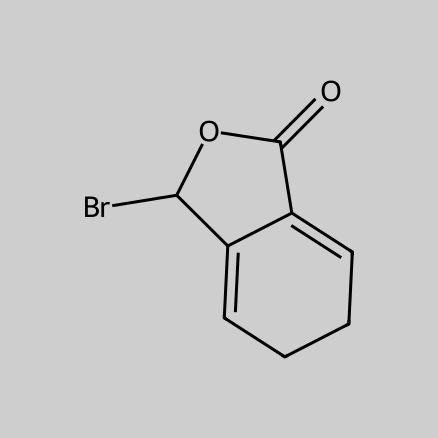 O=C1OC(Br)C2=CCCC=C12